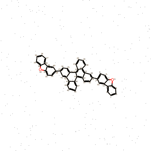 c1ccc2c(c1)oc1ccc(-c3ccc4c(c3)c3ccccc3c3c5ccc(-c6ccc7oc8ccccc8c7c6)cc5c5ccccc5c43)cc12